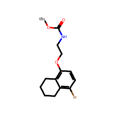 CC(C)(C)OC(=O)NCCOc1ccc(Br)c2c1CCCC2